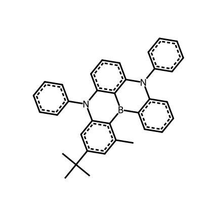 Cc1cc(C(C)(C)C)cc2c1B1c3ccccc3N(c3ccccc3)c3cccc(c31)N2c1ccccc1